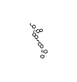 C/C=C\c1cccc(N(Cc2ccc3cc(/C=C/c4ccc5cc(N6C=NC7C(N(C)c8ccccc8)=CC=CC76)ccc5c4)ccc3c2)c2ccc3ccccc3c2)c1